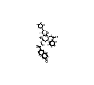 CCC(CN1CC[C@@H](CNC(=O)c2ccc3cc(Cl)ccc3c2)N[C@@H](CCN2CCCC2)C1=O)c1ccccc1